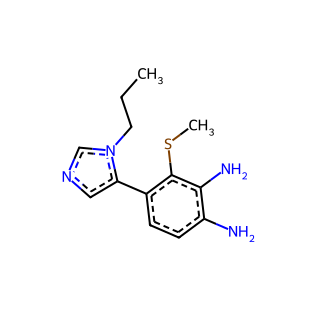 CCCn1cncc1-c1ccc(N)c(N)c1SC